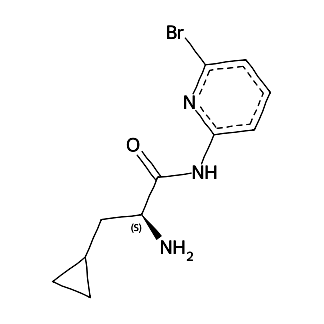 N[C@@H](CC1CC1)C(=O)Nc1cccc(Br)n1